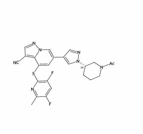 CC(=O)N1CCC[C@H](n2cc(-c3cc(Sc4nc(C)c(F)cc4F)c4c(C#N)cnn4c3)cn2)C1